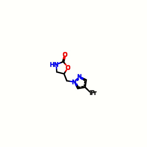 CC(C)c1cnn(CC2CNC(=O)O2)c1